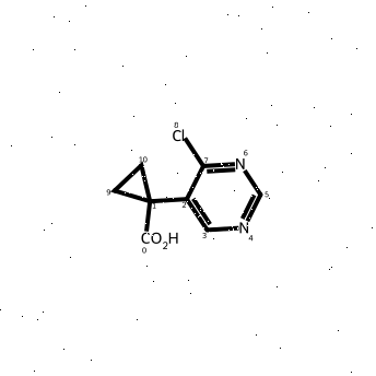 O=C(O)C1(c2cncnc2Cl)CC1